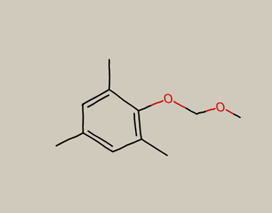 COCOc1c(C)cc(C)cc1C